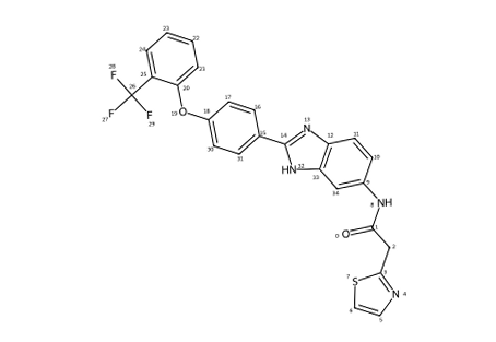 O=C(Cc1nccs1)Nc1ccc2nc(-c3ccc(Oc4ccccc4C(F)(F)F)cc3)[nH]c2c1